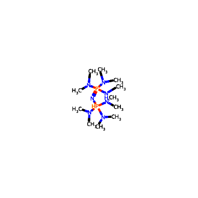 CNP(=N[PH](N(C)C)(N(C)C)N(C)C)(N(C)C)N(C)C